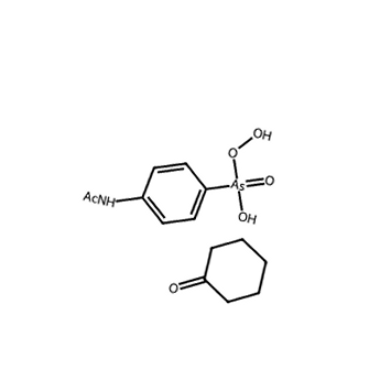 CC(=O)Nc1ccc([As](=O)(O)OO)cc1.O=C1CCCCC1